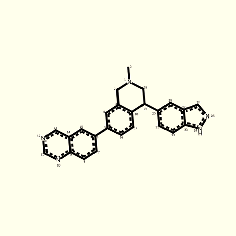 CN1Cc2cc(-c3ccc4ncncc4c3)ccc2C(c2ccc3[nH]ncc3c2)C1